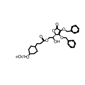 CCCCCCCCOC1CCC(CCC(=O)OCC(O)[C@H]2OC(=O)C(OCc3ccccc3)=C2OCc2ccccc2)CC1